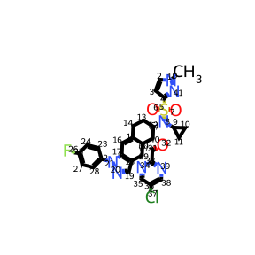 Cn1ccc(S(=O)(=O)N(C2CC2)[C@H]2CCC3=Cc4c(cnn4-c4ccc(F)cc4)C[C@]3(C(=O)c3ncc(Cl)cn3)C2)n1